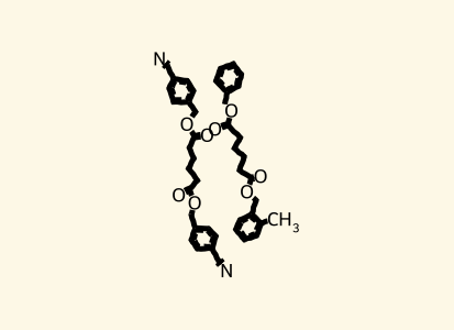 Cc1ccccc1COC(=O)CCCCC(=O)OCc1ccccc1.N#Cc1ccc(COC(=O)CCCCC(=O)OCc2ccc(C#N)cc2)cc1